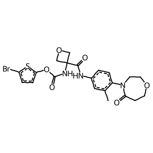 Cc1cc(NC(=O)C2(NC(=O)Oc3ccc(Br)s3)COC2)ccc1N1CCOCCC1=O